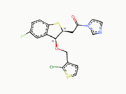 O=C(C[C@@H]1Sc2ccc(F)cc2[C@@H]1OCc1ccsc1Cl)n1ccnc1